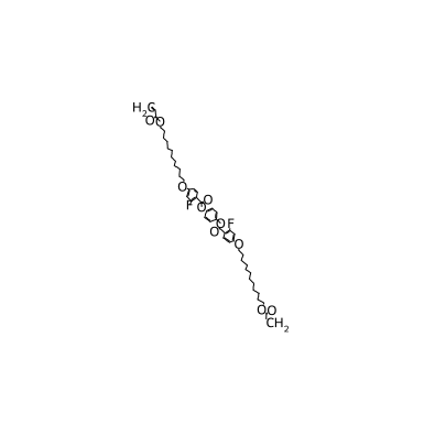 C=CC(=O)OCCCCCCCCCCCCOc1ccc(C(=O)Oc2ccc(OC(=O)c3ccc(OCCCCCCCCCCCCOC(=O)C=C)cc3F)cc2)c(F)c1